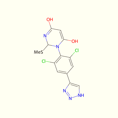 CSC1N=C(O)C=C(O)N1c1c(Cl)cc(-c2c[nH]nn2)cc1Cl